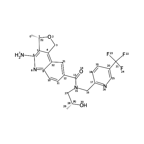 C[C@@H]1OCc2c1c(N)nc1ccc(C(=O)N(Cc3ccc(C(F)(F)F)cn3)C[C@@H](C)O)cc21